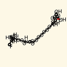 CCCCNc1nc(NCCOCCOCCC(=O)NCc2ccc(OC(=O)CCOCCOCCOCCOCCOCCOCCNC(=S)Nc3ccc4c(c3)C(=O)OC43c4ccc(O)cc4Oc4cc(O)ccc43)cc2)nc(NCc2cccc(F)c2)n1